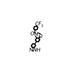 O=C(c1ccc(C(F)(F)F)cc1)N1CCOc2ccc(-c3ccc4nc[nH]c4c3)cc2C1